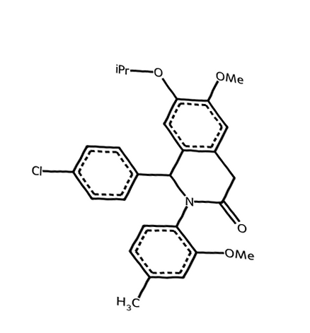 COc1cc2c(cc1OC(C)C)C(c1ccc(Cl)cc1)N(c1ccc(C)cc1OC)C(=O)C2